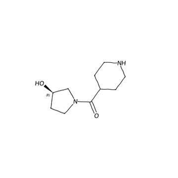 O=C(C1CCNCC1)N1CC[C@@H](O)C1